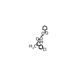 [CH2][C@H](CNC(=O)OCCOC(=O)C1CCCCC1)c1ccc(Cl)cc1